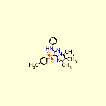 Cc1ccc(S(=O)(=O)c2c(Nc3ccccc3)nn3c(C)c(C)c(C)nc23)cc1